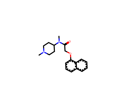 CN1CCC(N(C)C(=O)COc2cccc3ccccc23)CC1